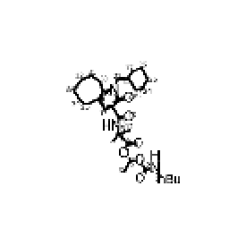 CCCCNC(=O)OC(C)OC(=O)C(C)(C)NC(=O)c1cc2c(n(CC3CCCCC3)c1=O)CCCCCC2